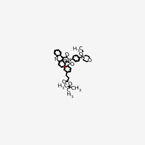 CCO[N+]1(c2ccc(N(C(=O)c3c4ccccc4nc4ccccc34)S(=O)(=O)c3ccc(CCC(=O)OC(C)(C)C)cc3)cc2)CCOCC1